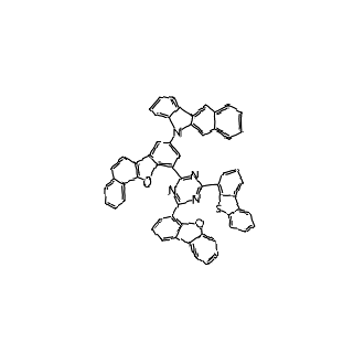 c1ccc2cc3c(cc2c1)c1ccccc1n3-c1cc(-c2nc(-c3cccc4c3oc3ccccc34)nc(-c3cccc4c3sc3ccccc34)n2)c2oc3c4ccccc4ccc3c2c1